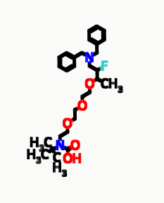 CC(OCCOCCOCCN(C(=O)O)C(C)(C)C)C(F)CN(Cc1ccccc1)Cc1ccccc1